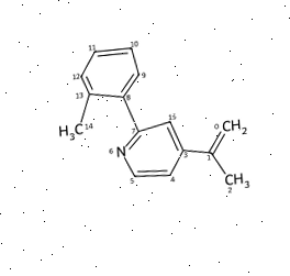 C=C(C)c1ccnc(-c2ccccc2C)c1